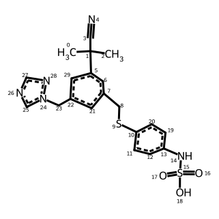 CC(C)(C#N)c1cc(CSc2ccc(NS(=O)(=O)O)cc2)cc(Cn2cncn2)c1